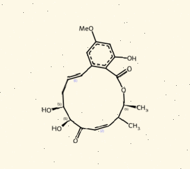 COc1cc(O)c2c(c1)/C=C/C[C@H](O)[C@H](O)C(=O)/C=C\C(C)[C@H](C)OC2=O